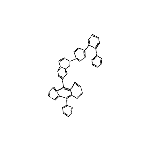 c1ccc(-c2ccccc2-c2ccc(-c3ccc4ccc(-c5c6ccccc6c(-c6ccccc6)c6ccccc56)cc4c3)cc2)cc1